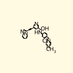 CN1CCN(Cc2ccc(NC(O)c3cncc(C#Cc4cnc5ccccn45)c3)cc2C(F)(F)F)CC1